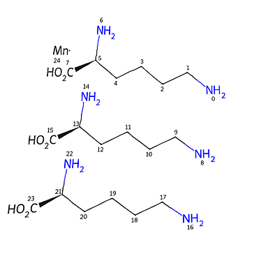 NCCCC[C@H](N)C(=O)O.NCCCC[C@H](N)C(=O)O.NCCCC[C@H](N)C(=O)O.[Mn]